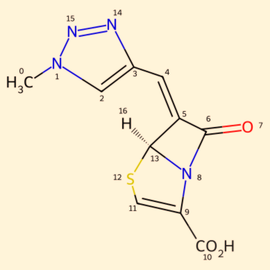 Cn1cc(/C=C2/C(=O)N3C(C(=O)O)=CS[C@@H]23)nn1